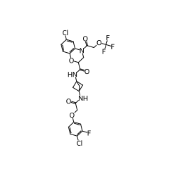 O=C(COc1ccc(Cl)c(F)c1)NC12CC(NC(=O)C3CN(C(=O)COC(F)(F)F)c4cc(Cl)ccc4O3)(C1)C2